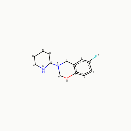 Fc1ccc2c(c1)CN(C1CCCCN1)CO2